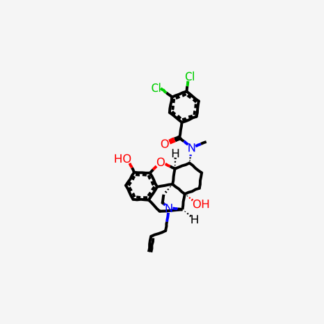 C=CCN1CC[C@]23c4c5ccc(O)c4O[C@H]2[C@H](N(C)C(=O)c2ccc(Cl)c(Cl)c2)CC[C@@]3(O)[C@H]1C5